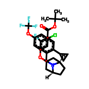 CC(C)(C)OC(=O)c1cc(C2CC2)c(CN2[C@@H]3CC[C@H]2CC(Oc2cc(Cl)cc(OC(F)(F)F)c2)C3)cc1F